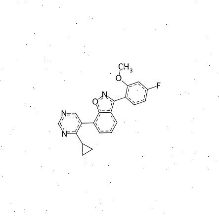 COc1cc(F)ccc1-c1noc2c(-c3cncnc3C3CC3)cccc12